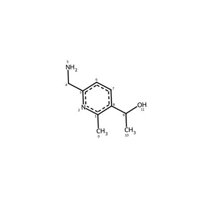 Cc1nc(CN)ccc1C(C)O